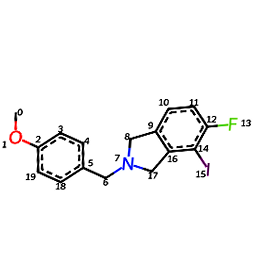 COc1ccc(CN2Cc3ccc(F)c(I)c3C2)cc1